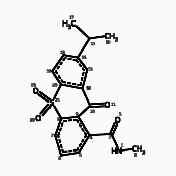 CNC(=O)c1cccc2c1C(=O)c1cc(C(C)C)ccc1S2(=O)=O